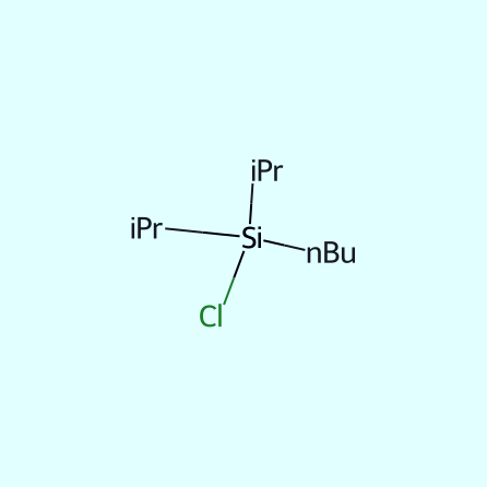 CCCC[Si](Cl)(C(C)C)C(C)C